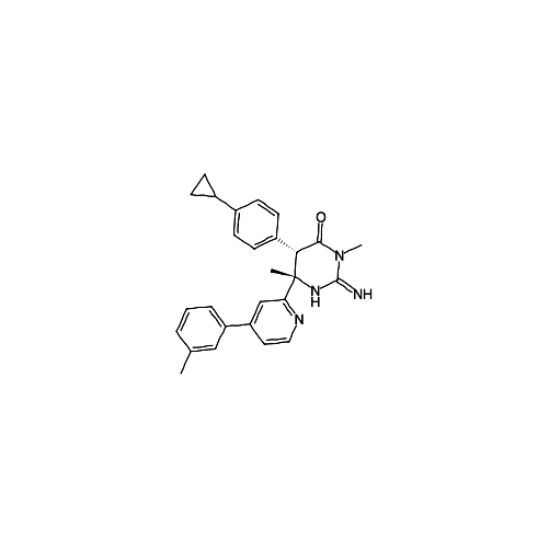 Cc1cccc(-c2ccnc([C@@]3(C)NC(=N)N(C)C(=O)[C@H]3c3ccc(C4CC4)cc3)c2)c1